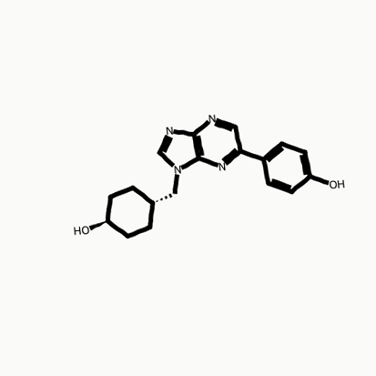 Oc1ccc(-c2cnc3ncn(C[C@H]4CC[C@H](O)CC4)c3n2)cc1